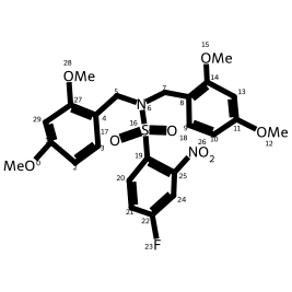 COc1ccc(CN(Cc2ccc(OC)cc2OC)S(=O)(=O)c2ccc(F)cc2[N+](=O)[O-])c(OC)c1